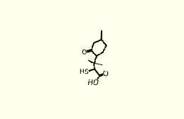 CC1CCC(C(C)(C)C(S)C(=O)O)C(=O)C1